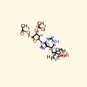 CC(=O)OC[C@H]1OC(n2cnc3c2N=CNC[C@H]3CC(C)(C)[Si](C)(C)O)CC1OC(C)=O